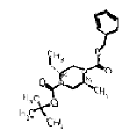 CC[C@@H]1CN(C(=O)OCc2ccccc2)[C@@H](C)CN1C(=O)OC(C)(C)C